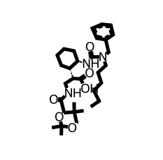 CCCCCCN(Cc1ccccc1)C(=O)N[C@H]1CCCC[C@H]1C(CNC(=O)C1OC(C)(C)OCC1(C)C)C(=O)O